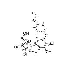 CCOc1ccc(Cc2cc([C@@H]3O[C@H](CO)[C@@H](O)[C@H](O)[C@H]3O)cc(O)c2Cl)cc1